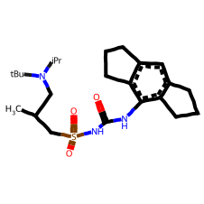 CC(CN(C(C)C)C(C)(C)C)CS(=O)(=O)NC(=O)Nc1c2c(cc3c1CCC3)CCC2